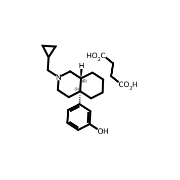 O=C(O)CCC(=O)O.Oc1cccc([C@@]23CCCC[C@H]2CN(CC2CC2)CC3)c1